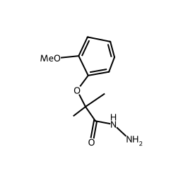 COc1ccccc1OC(C)(C)C(=O)NN